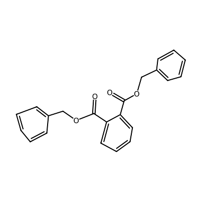 O=C(OCc1ccccc1)c1ccccc1C(=O)OCc1ccccc1